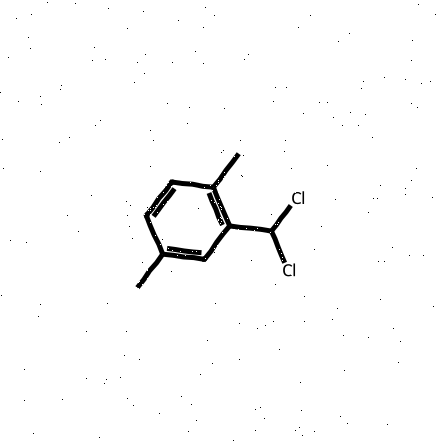 Cc1ccc(C)c(C(Cl)Cl)c1